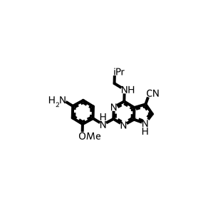 COc1cc(N)ccc1Nc1nc(NCC(C)C)c2c(C#N)c[nH]c2n1